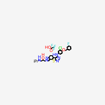 CC(C)NC[C@@H](O)Cn1cc2c(n1)CCc1c-2sc2ncnc(Nc3ccc(OCc4cccc(F)c4)c(Cl)c3)c12.O=C(O)C(F)(F)F